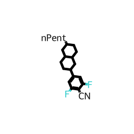 CCCCCC1CCC2CC(c3cc(F)c(C#N)c(F)c3)CCC2C1